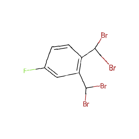 Fc1ccc(C(Br)Br)c(C(Br)Br)c1